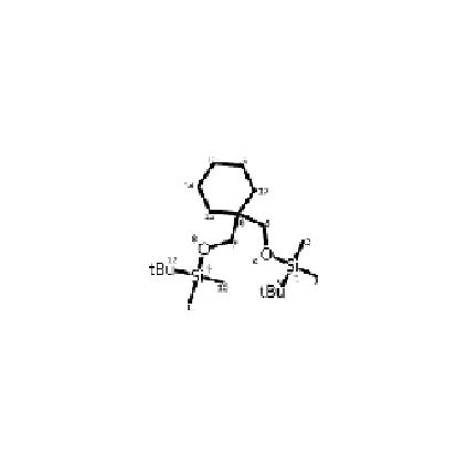 CC(C)(C)[Si](C)(C)OCC1(CO[Si](C)(C)C(C)(C)C)CCCCC1